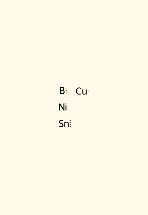 [B].[Cu].[Ni].[Sn]